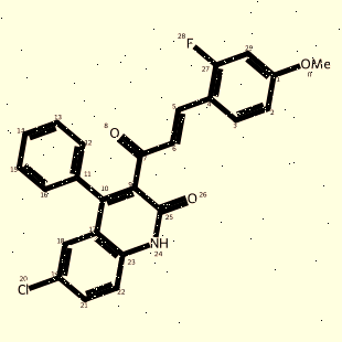 COc1ccc(/C=C/C(=O)c2c(-c3ccccc3)c3cc(Cl)ccc3[nH]c2=O)c(F)c1